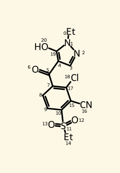 CCn1ncc(C(=O)c2ccc(S(=O)(=O)CC)c(C#N)c2Cl)c1O